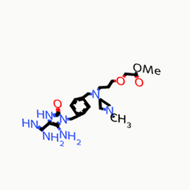 COC(=O)COCCCN(Cc1ccc(Cn2c(N)c(C(=N)N)[nH]c2=O)cc1)C1CN(C)C1